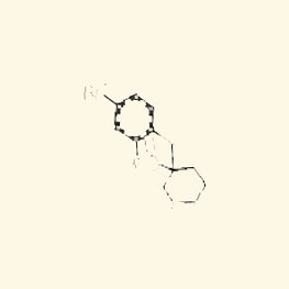 OC1(Cc2ccc(Br)cc2F)CCCCC1